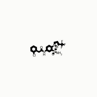 NS(=O)(=O)c1cc(NC(=O)Cc2ccccc2Cl)ccc1-n1ccc(C(F)(F)F)n1